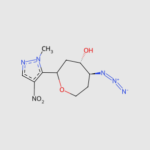 Cn1ncc([N+](=O)[O-])c1C1C[C@H](O)[C@@H](N=[N+]=[N-])CCO1